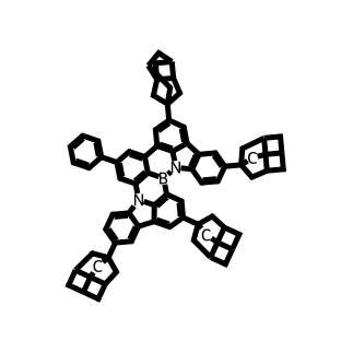 c1ccc(-c2cc3c4c(c2)-n2c5ccc(C67CC8CC9CC(C6)C98C7)cc5c5cc(C67CC8CC9CC(C6)C98C7)cc(c52)B4n2c4ccc(C56CC7CC8CC(C5)C87C6)cc4c4cc(C56CC7CC8CC7(C5)C8C6)cc-3c42)cc1